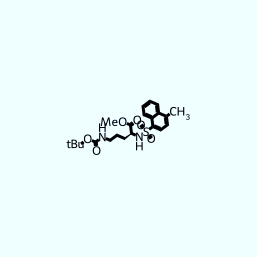 COC(=O)[C@H](CCCNC(=O)OC(C)(C)C)NS(=O)(=O)c1ccc(C)c2ccccc12